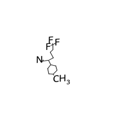 CC1CCC(C(C#N)CCCC(F)(F)F)CC1